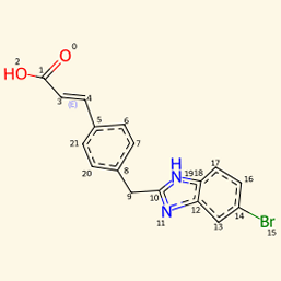 O=C(O)/C=C/c1ccc(Cc2nc3cc(Br)ccc3[nH]2)cc1